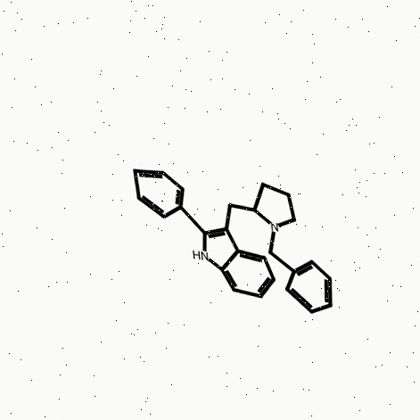 c1ccc(CN2CCCC2Cc2c(-c3ccccc3)[nH]c3ccccc23)cc1